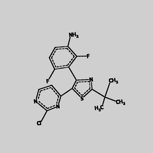 CC(C)(C)c1nc(-c2c(F)ccc(N)c2F)c(-c2ccnc(Cl)n2)s1